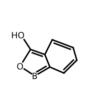 Oc1obc2ccccc12